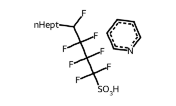 CCCCCCCC(F)C(F)(F)C(F)(F)C(F)(F)S(=O)(=O)O.c1ccncc1